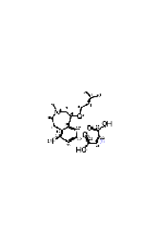 CC(C)=CCOC1CN(C)CCc2c(F)cccc21.O=C(O)/C=C\C(=O)O